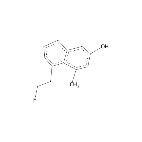 Cc1cc(O)cc2cccc(CCF)c12